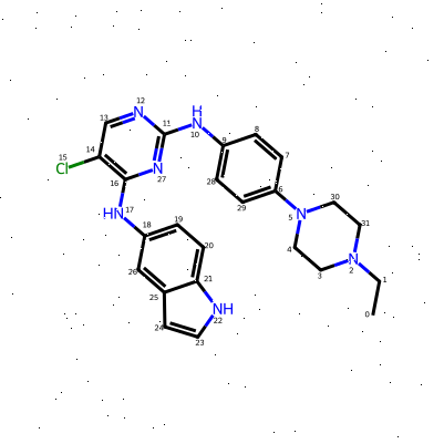 CCN1CCN(c2ccc(Nc3ncc(Cl)c(Nc4ccc5[nH]ccc5c4)n3)cc2)CC1